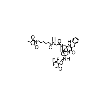 CC(=O)C(OCNC(=O)CNC(=O)[C@H](Cc1ccccc1)NC(=O)CNC(=O)CNC(=O)CCCCCN1C(=O)CC(C)C1=O)C(F)(F)F